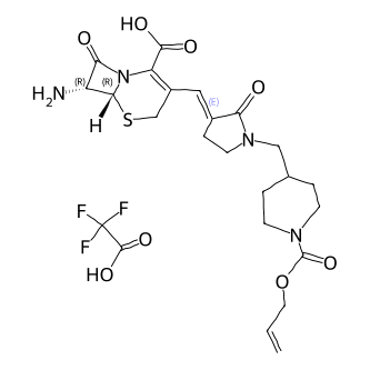 C=CCOC(=O)N1CCC(CN2CC/C(=C\C3=C(C(=O)O)N4C(=O)[C@@H](N)[C@H]4SC3)C2=O)CC1.O=C(O)C(F)(F)F